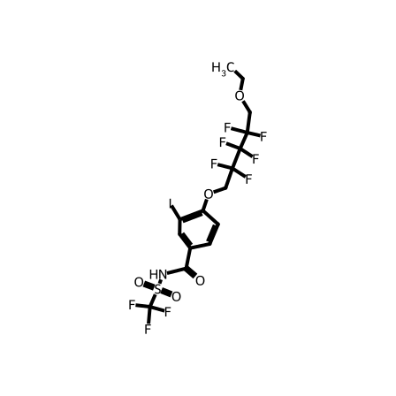 CCOCC(F)(F)C(F)(F)C(F)(F)COc1ccc(C(=O)NS(=O)(=O)C(F)(F)F)cc1I